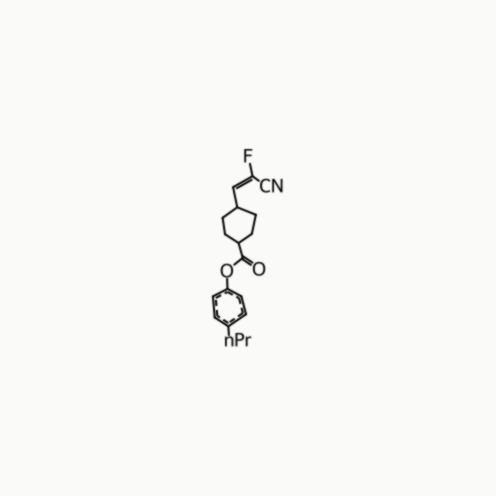 CCCc1ccc(OC(=O)C2CCC(/C=C(/F)C#N)CC2)cc1